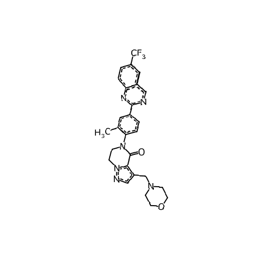 Cc1cc(-c2ncc3cc(C(F)(F)F)ccc3n2)ccc1N1CCn2ncc(CN3CCOCC3)c2C1=O